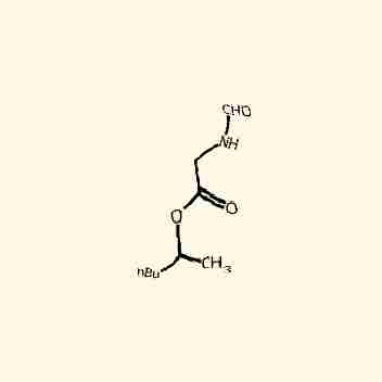 CCCCC(C)OC(=O)CNC=O